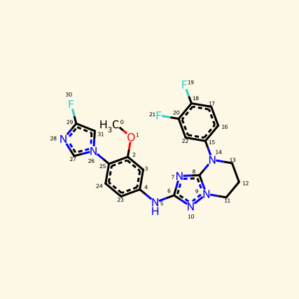 COc1cc(Nc2nc3n(n2)CCCN3c2ccc(F)c(F)c2)ccc1-n1cnc(F)c1